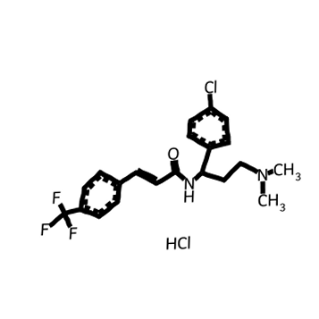 CN(C)CCC(NC(=O)/C=C/c1ccc(C(F)(F)F)cc1)c1ccc(Cl)cc1.Cl